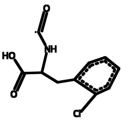 O=[C]NC(Cc1ccccc1Cl)C(=O)O